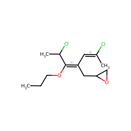 CCCO/C(=C(/C=C(\C)Cl)CC1CO1)C(C)Cl